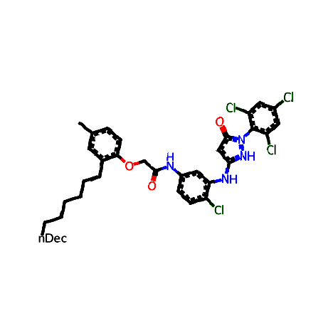 CCCCCCCCCCCCCCCCc1cc(C)ccc1OCC(=O)Nc1ccc(Cl)c(Nc2cc(=O)n(-c3c(Cl)cc(Cl)cc3Cl)[nH]2)c1